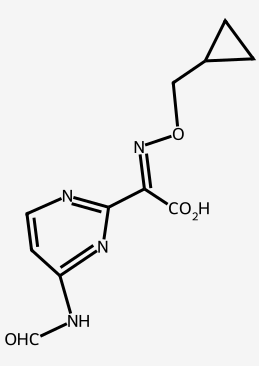 O=CNc1ccnc(/C(=N/OCC2CC2)C(=O)O)n1